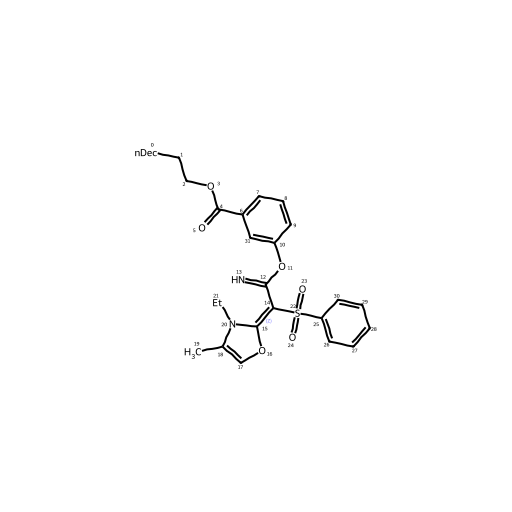 CCCCCCCCCCCCOC(=O)c1cccc(OC(=N)/C(=C2/OC=C(C)N2CC)S(=O)(=O)c2ccccc2)c1